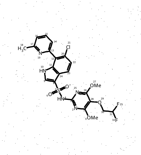 COc1nc(NS(=O)(=O)c2c[nH]c3c(-c4cccc(C)n4)c(Cl)ccc23)nc(OC)c1OCC(F)F